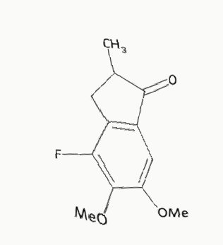 COc1cc2c(c(F)c1OC)CC(C)C2=O